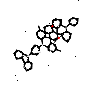 Cc1ccc2c(c1)C1(c3cc(C)ccc3N2c2ccc(-n3c4ccccc4c4ncccc43)cn2)c2ccccc2C2(c3ccccc3N(c3ccccc3)c3ccccc32)c2ccccc21